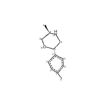 Cc1ccc([C@H]2CN[C@H](C)CO2)cc1